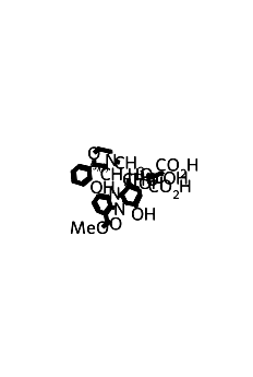 COC(=O)c1ccc(O)c2nc3c(C=O)c(O)cc(O)c3nc12.C[C@H]1[C@H](c2ccccc2)OCCN1C.O=C(O)C(O)C(O)C(=O)O